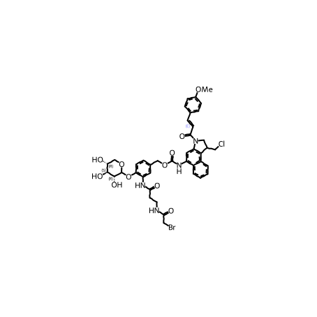 COc1ccc(/C=C/C(=O)N2CC(CCl)c3c2cc(NC(=O)OCc2ccc(OC4OC[C@@H](O)[C@H](O)[C@H]4O)c(NC(=O)CCNC(=O)CBr)c2)c2ccccc32)cc1